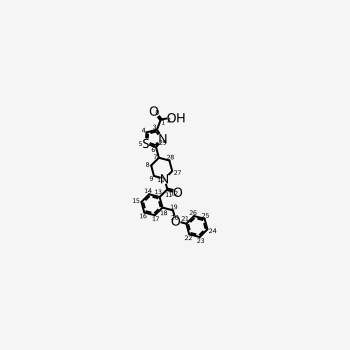 O=C(O)c1csc(C2CCN(C(=O)c3ccccc3COc3ccccc3)CC2)n1